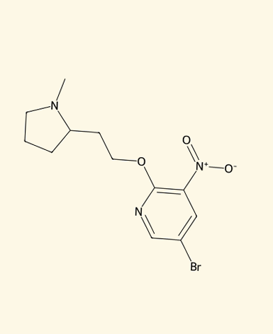 CN1CCCC1CCOc1ncc(Br)cc1[N+](=O)[O-]